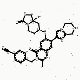 Cc1nc2cc(-c3cn4c(n3)CNCC4)c(O[C@H]3CCN4C(=O)OC[C@@H]4C3)cc2c(=O)n1Cc1ccc(C#N)cc1